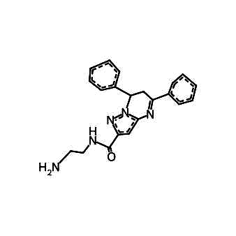 NCCNC(=O)c1cc2n(n1)C(c1ccccc1)CC(c1ccccc1)=N2